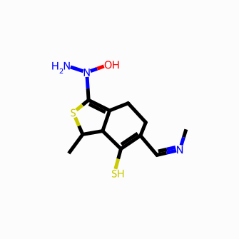 C/N=C\C1=C(S)C2C(=C(N(N)O)SC2C)CC1